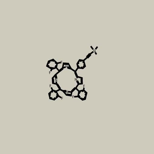 C[Si](C)(C)C#Cc1ccc(C2=C3C=CC(=N3)C(c3c(F)cccc3F)=C3C=CC(=N3)C(c3c(F)cccc3F)=C3C=CC(=N3)C(c3c(F)cccc3F)=C3C=CC2=N3)cc1